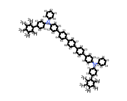 [2H]c1c([2H])c([2H])c(-c2ccc(N(c3ccccc3)c3ccc(-c4ccc(-c5ccc(-c6ccc(-c7ccc(N(c8ccccc8)c8ccc(-c9c([2H])c([2H])c([2H])c([2H])c9[2H])cc8)cc7)cc6)cc5)cc4)cc3)cc2)c([2H])c1[2H]